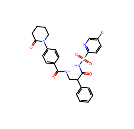 O=C(NCC(C(=O)NS(=O)(=O)c1ccc(Cl)cn1)c1ccccc1)c1ccc(N2CCCCC2=O)cc1